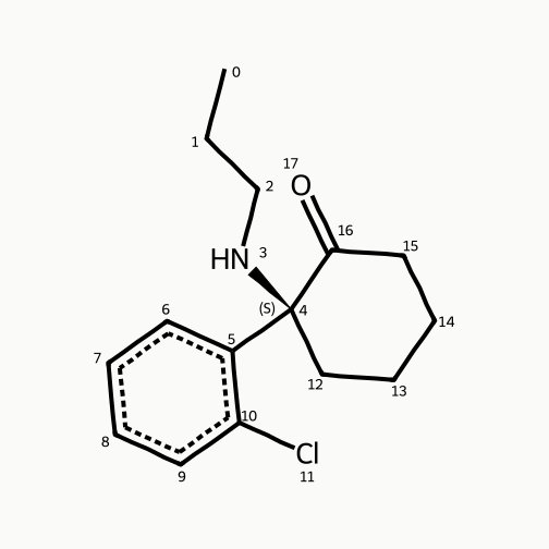 CCCN[C@]1(c2ccccc2Cl)CCCCC1=O